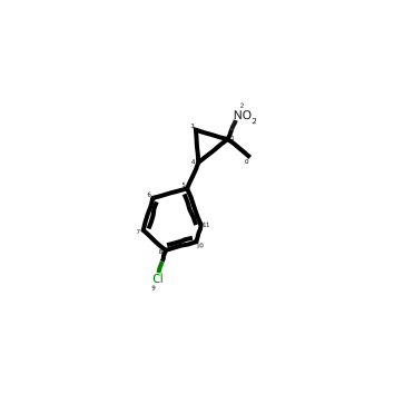 CC1([N+](=O)[O-])CC1c1ccc(Cl)cc1